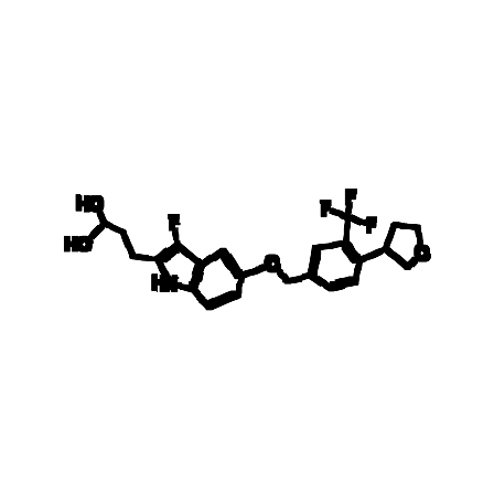 OC(O)CCc1[nH]c2ccc(OCc3ccc(C4CCOC4)c(C(F)(F)F)c3)cc2c1F